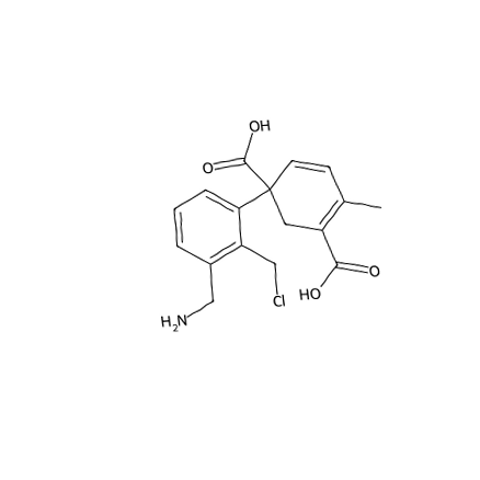 CC1=C(C(=O)O)CC(C(=O)O)(c2cccc(CN)c2CCl)C=C1